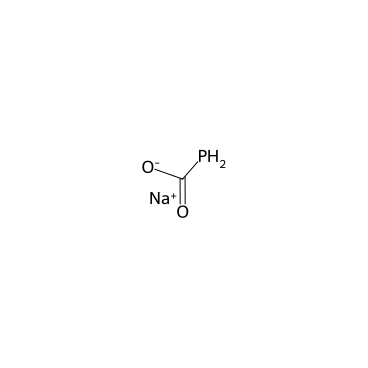 O=C([O-])P.[Na+]